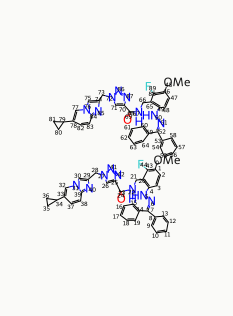 COc1ccc(NN=C(c2ccccc2)c2ccccc2)c(CNC(=O)c2cn(Cc3cn4cc(C5CC5)ccc4n3)nn2)c1F.COc1ccc(NN=C(c2ccccc2)c2ccccc2)c(CNC(=O)c2cn(Cc3cn4cc(C5CC5)ccc4n3)nn2)c1F